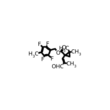 CC(C=O)=CC1(C(=O)OCc2c(F)c(F)c(C)c(F)c2F)CC1(C)C